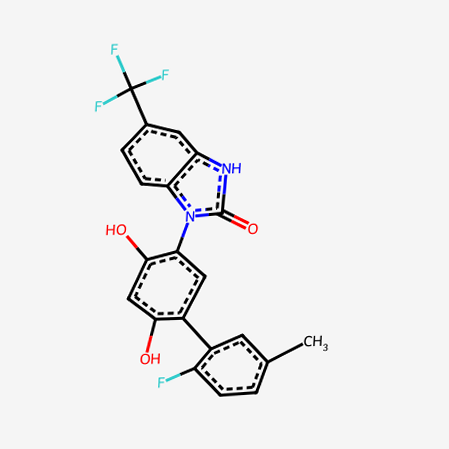 Cc1ccc(F)c(-c2cc(-n3c(=O)[nH]c4cc(C(F)(F)F)ccc43)c(O)cc2O)c1